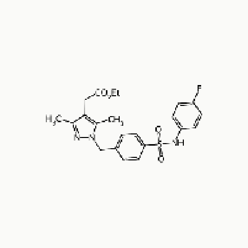 CCOC(=O)Cc1c(C)nn(Cc2ccc(S(=O)(=O)Nc3ccc(F)cc3)cc2)c1C